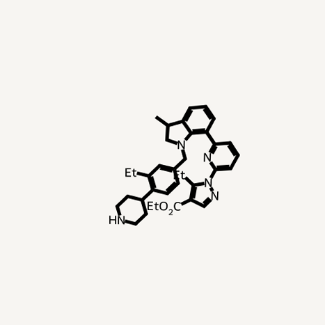 CCOC(=O)c1cnn(-c2cccc(-c3cccc4c3N(Cc3ccc(C5CCNCC5)c(CC)c3)CC4C)n2)c1CC